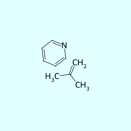 C=C(C)C.c1ccncc1